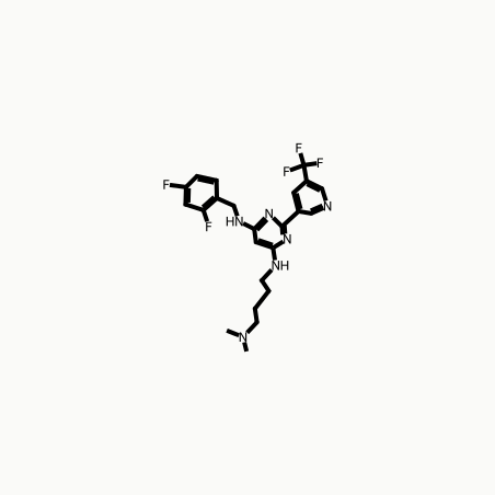 CN(C)CCCCNc1cc(NCc2ccc(F)cc2F)nc(-c2cncc(C(F)(F)F)c2)n1